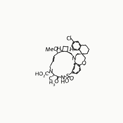 CO[C@@H]1/C=C/CN(C(=O)O)[C@H](C)C(=O)NS(=O)(=O)c2ccc3c(c2)N(C[C@@H]2CC[C@H]21)C[C@@]1(CCCc2cc(Cl)ccc21)CO3